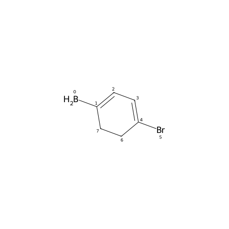 BC1=CC=C(Br)CC1